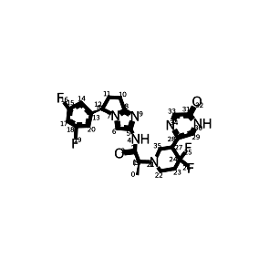 C[C@@H](C(=O)Nc1cn2c(n1)CC[C@@H]2c1cc(F)cc(F)c1)N1CCC(F)(F)C(c2c[nH]c(=O)cn2)C1